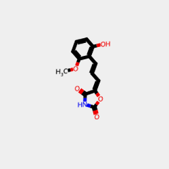 COc1cccc(O)c1C=CC=C1OC(=O)NC1=O